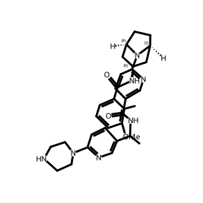 COc1cccc(C(=O)N[C@H]2C[C@H]3CC[C@@H](C2)N3c2ccc(C(=O)NC(C)c3ccc(N4CCNCC4)nc3)cn2)c1C